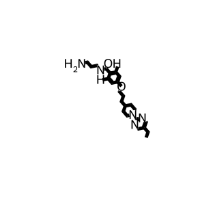 CCc1cnc(N2CCC(CCCOc3cc(C)c(C(O)NCCCN)c(C)c3)CC2)nc1